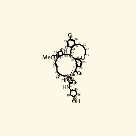 CO[C@H]1/C=C/C[C@H](C)C[S@@](=O)(NC(=O)N[C@@H]2CC[C@@H](O)C2)=NC(=O)c2ccc3c(c2)N(Cc2ccc(Cl)cc2CCCCO3)C[C@@H]2CC[C@H]21